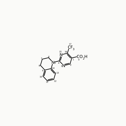 O=C(O)c1cnc(N2CCCc3ccccc32)nc1C(F)(F)F